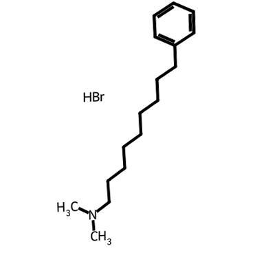 Br.CN(C)CCCCCCCCCc1ccccc1